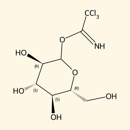 N=C(OC1O[C@H](CO)[C@@H](O)[C@H](O)[C@H]1O)C(Cl)(Cl)Cl